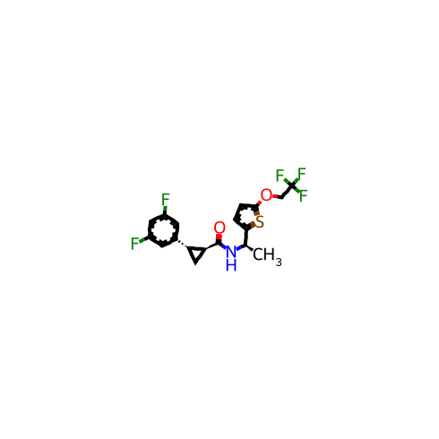 C[C@@H](NC(=O)[C@H]1C[C@@H]1c1cc(F)cc(F)c1)c1ccc(OCC(F)(F)F)s1